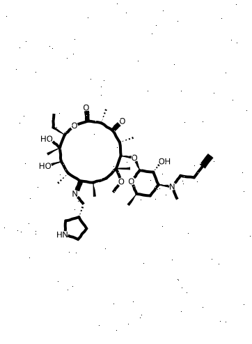 C#CCCN(C)[C@H]1C[C@@H](C)O[C@@H](O[C@@H]2[C@@H](C)C(=O)[C@@H](C)C(=O)O[C@H](CC)[C@@](C)(O)[C@H](O)[C@@H](C)/C(=N/C[C@@H]3CCNC3)[C@H](C)C[C@@]2(C)OC)[C@@H]1O